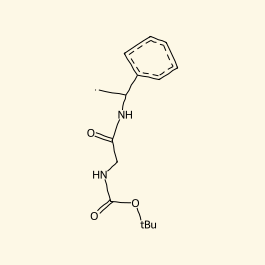 [CH2]C(NC(=O)CNC(=O)OC(C)(C)C)c1ccccc1